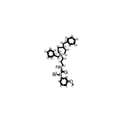 COc1cccc(N(Br)C(=O)NCCC[N+]2(Cc3ccccc3)CCC(Cc3ccccc3)CC2)c1